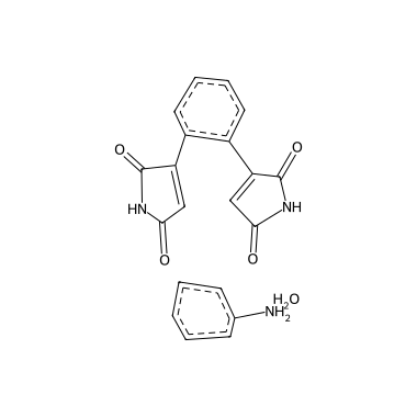 Nc1ccccc1.O.O=C1C=C(c2ccccc2C2=CC(=O)NC2=O)C(=O)N1